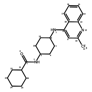 O=C(NC1CCC(Nc2cc(C(F)(F)F)nc3ccccc23)CC1)C1CCCCC1